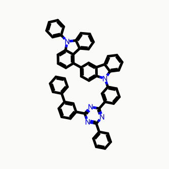 c1ccc(-c2cccc(-c3nc(-c4ccccc4)nc(-c4cccc(-n5c6ccccc6c6cc(-c7cccc8c7c7ccccc7n8-c7ccccc7)ccc65)c4)n3)c2)cc1